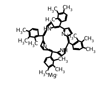 Cc1ccc(-c2c3nc(c(-c4ccc(C)c(C)c4C)c4ccc([nH]4)c(-c4ccc(C)c(C)c4C)c4nc(c(-c5ccc(C)c(C)c5C)c5ccc2[nH]5)C=C4)C=C3)c(C)c1C.[Mg]